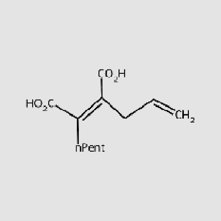 C=CC/C(C(=O)O)=C(\CCCCC)C(=O)O